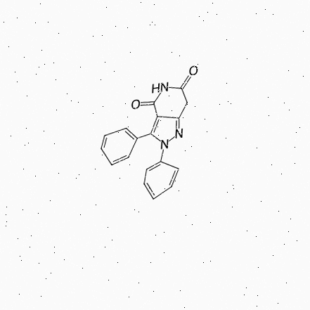 O=C1Cc2nn(-c3ccccc3)c(-c3ccccc3)c2C(=O)N1